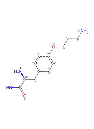 [NH]C(=O)[C@@H](N)Cc1ccc(OCCCN)cc1